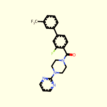 O=C(c1ccc(-c2cccc(C(F)(F)F)c2)cc1F)N1CCN(c2ncccn2)CC1